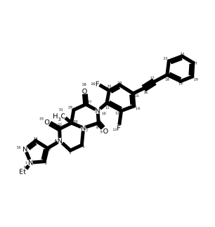 CCn1cc(N2CCN3C(=O)N(c4c(F)cc(C#Cc5ccccc5)cc4F)C(=O)CC3(C)C2=O)cn1